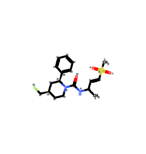 CC(/C=C/S(C)(=O)=O)NC(=O)N1CC[C@@H](CF)C[C@H]1c1ccccc1